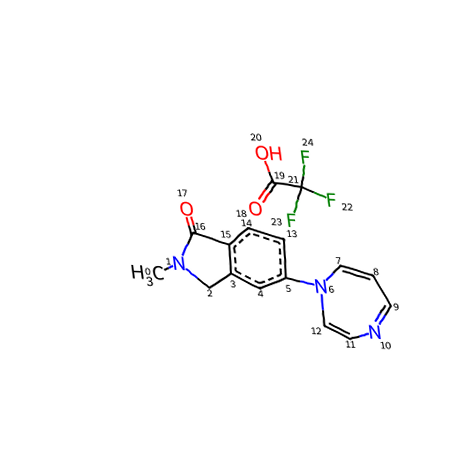 CN1Cc2cc(N3C=CC=NC=C3)ccc2C1=O.O=C(O)C(F)(F)F